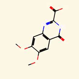 COc1cc2nc(C(=O)O)[nH]c(=O)c2cc1OC